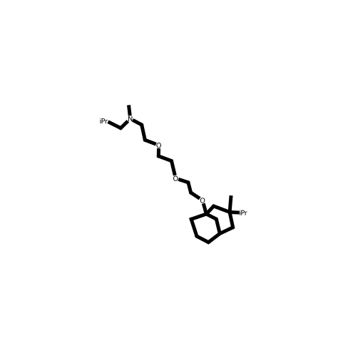 CC(C)CN(C)CCOCCOCCOC12CCCC(C1)CC(C)(C(C)C)C2